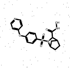 O=C(NO)C1C2CCC(C2)N1S(=O)(=O)c1ccc(Oc2ccncc2)cc1